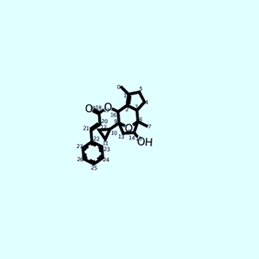 CC1=C2C(CC1)C1(C)OC(C3CC3)(CC1O)C2OC(=O)/C=C/c1ccccc1